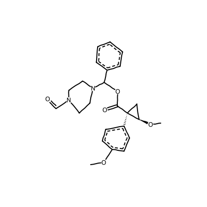 COc1ccc([C@]2(C(=O)OC(c3ccccc3)N3CCN(C=O)CC3)C[C@H]2OC)cc1